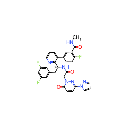 CNC(=O)c1cc(-c2cccnc2[C@H](Cc2cc(F)cc(F)c2)NC(=O)Cn2nc(-n3cccn3)ccc2=O)ccc1F